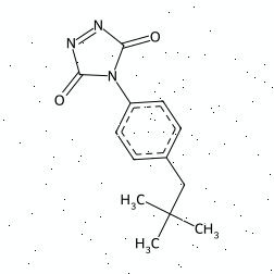 CC(C)(C)Cc1ccc(N2C(=O)N=NC2=O)cc1